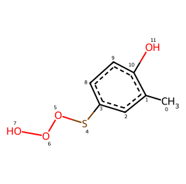 Cc1cc(SOOO)ccc1O